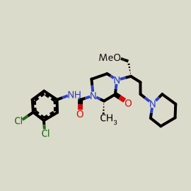 COC[C@H](CCN1CCCCC1)N1CCN(C(=O)Nc2ccc(Cl)c(Cl)c2)[C@@H](C)C1=O